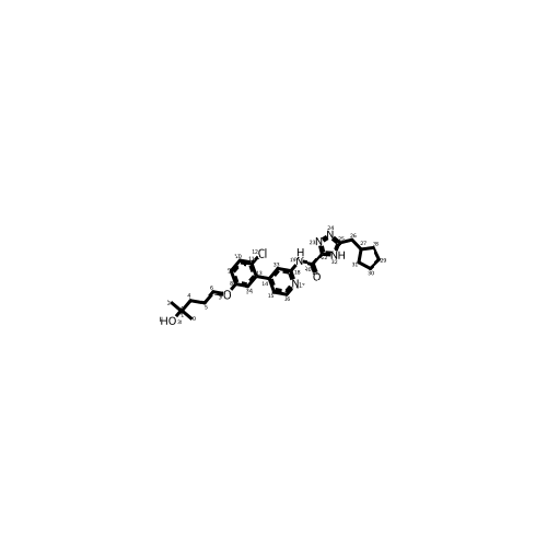 CC(C)(O)CCCOc1ccc(Cl)c(-c2ccnc(NC(=O)c3nnc(CC4CCCC4)[nH]3)c2)c1